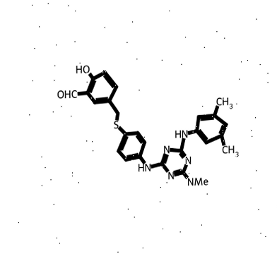 CNc1nc(Nc2ccc(SCc3ccc(O)c(C=O)c3)cc2)nc(Nc2cc(C)cc(C)c2)n1